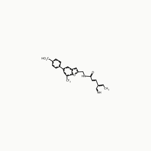 C/C=C(C=N)/C=C/C(=O)NCc1cc2cc(-c3ccc(C(=O)O)cc3)cc(C(F)(F)F)c2o1